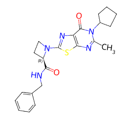 Cc1nc2sc(N3CC[C@@H]3C(=O)NCc3ccccc3)nc2c(=O)n1C1CCCC1